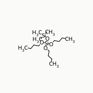 CCCCO[Si](OCCCC)(OCCCC)O[Si](C)(C)C